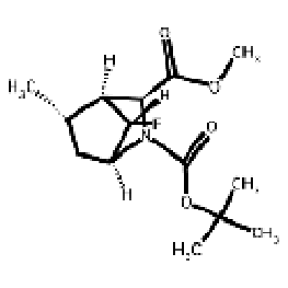 COC(=O)[C@@H]1[C@H]2[C@H](F)[C@H](C[C@@H]2C)N1C(=O)OC(C)(C)C